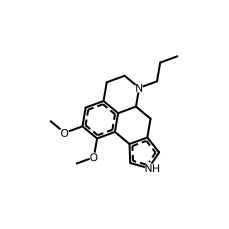 CCCN1CCc2cc(OC)c(OC)c3c2C1Cc1c[nH]cc1-3